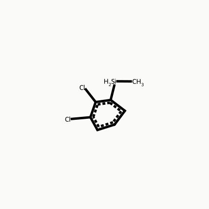 C[SiH2]c1cccc(Cl)c1Cl